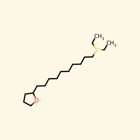 CC[S+](CC)CCCCCCCCCCC1CCCO1